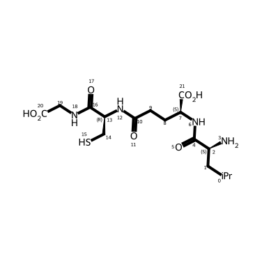 CC(C)C[C@H](N)C(=O)N[C@@H](CCC(=O)N[C@@H](CS)C(=O)NCC(=O)O)C(=O)O